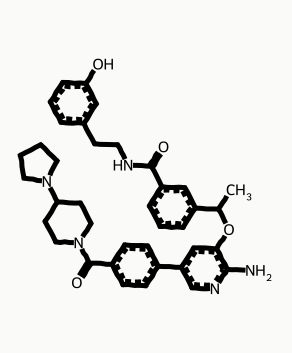 CC(Oc1cc(-c2ccc(C(=O)N3CCC(N4CCCC4)CC3)cc2)cnc1N)c1cccc(C(=O)NCCc2cccc(O)c2)c1